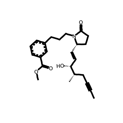 CC#CC[C@H](C)[C@H](O)C=C[C@H]1CCC(=O)N1CCCc1cccc(C(=O)OC)c1